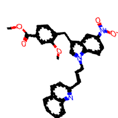 COC(=O)c1ccc(Cc2cn(C/C=C/c3ccc4ccccc4n3)c3ccc([N+](=O)[O-])cc23)c(OC)c1